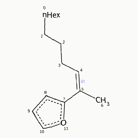 CCCCCCCCC/C=C(/C)c1ccco1